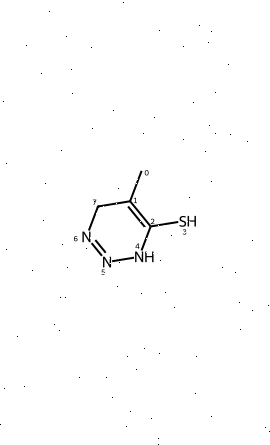 CC1=C(S)NN=NC1